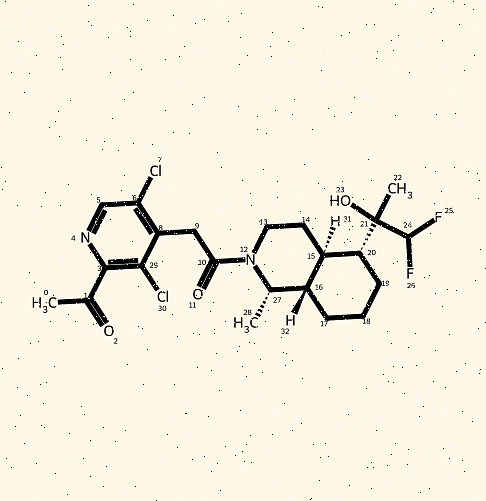 CC(=O)c1ncc(Cl)c(CC(=O)N2CC[C@@H]3[C@H](CCC[C@H]3C(C)(O)C(F)F)[C@@H]2C)c1Cl